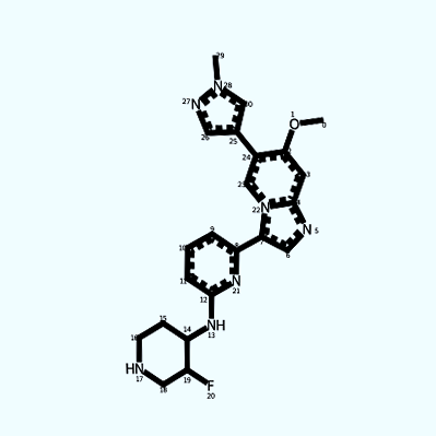 COc1cc2ncc(-c3cccc(NC4CCNCC4F)n3)n2cc1-c1cnn(C)c1